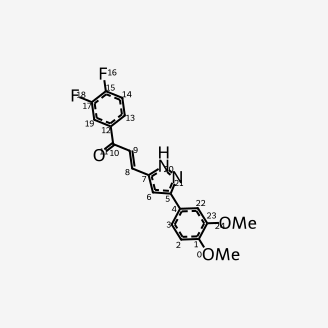 COc1ccc(-c2cc(C=CC(=O)c3ccc(F)c(F)c3)[nH]n2)cc1OC